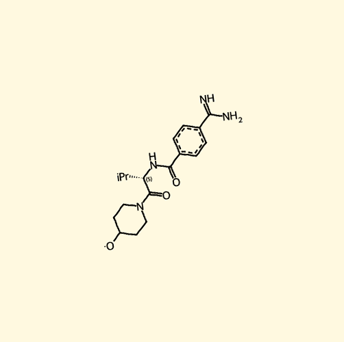 CC(C)[C@H](NC(=O)c1ccc(C(=N)N)cc1)C(=O)N1CCC([O])CC1